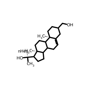 CCCCCC[C@](C)(O)C1CCC2C3CC=C4CC(CO)CC[C@]4(C)C3CC[C@@]21C